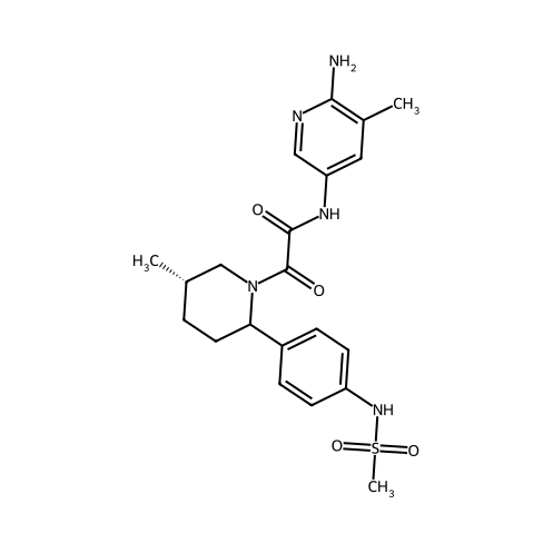 Cc1cc(NC(=O)C(=O)N2C[C@@H](C)CCC2c2ccc(NS(C)(=O)=O)cc2)cnc1N